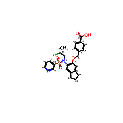 C[C@@H](F)CN(c1cc2c(cc1OCc1ccc(C(=O)O)cc1)CCC2)S(=O)(=O)c1cccnc1